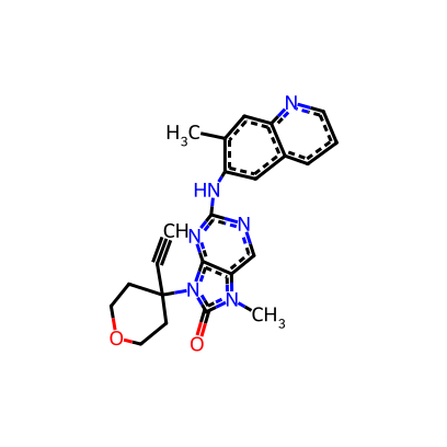 C#CC1(n2c(=O)n(C)c3cnc(Nc4cc5cccnc5cc4C)nc32)CCOCC1